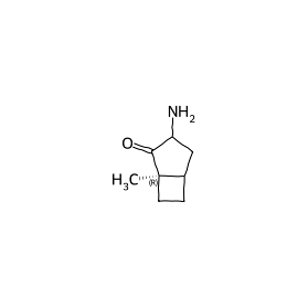 C[C@@]12CCC1CC(N)C2=O